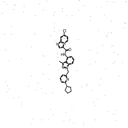 Cc1nn(Cc2cccc(C3CCCC3)n2)c2cccc(NC(=O)c3cnc4cc(Cl)ccn34)c12